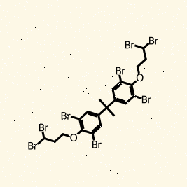 CC(C)(c1cc(Br)c(OCCC(Br)Br)c(Br)c1)c1cc(Br)c(OCCC(Br)Br)c(Br)c1